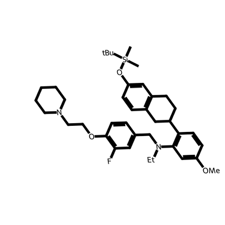 CCN(Cc1ccc(OCCN2CCCCC2)c(F)c1)c1cc(OC)ccc1C1CCc2cc(O[Si](C)(C)C(C)(C)C)ccc2C1